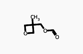 CC1(COC=O)COC1